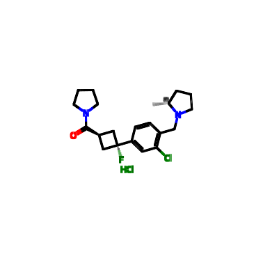 C[C@@H]1CCCN1Cc1ccc([C@]2(F)C[C@H](C(=O)N3CCCC3)C2)cc1Cl.Cl